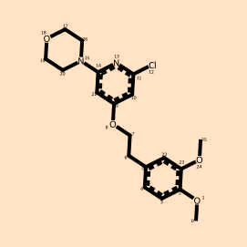 COc1ccc(CCOc2cc(Cl)nc(N3CCOCC3)c2)cc1OC